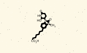 Cn1c(=O)n(C2CCC(=O)NC2O)c2ccc(CCCCCCC(=O)O)cc21